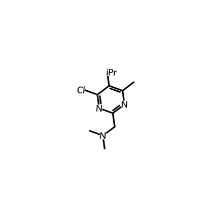 Cc1nc(CN(C)C)nc(Cl)c1C(C)C